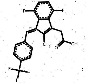 CC1=C(CC(=O)O)c2c(F)ccc(F)c2/C1=C/c1ccc(C(F)(F)F)cc1